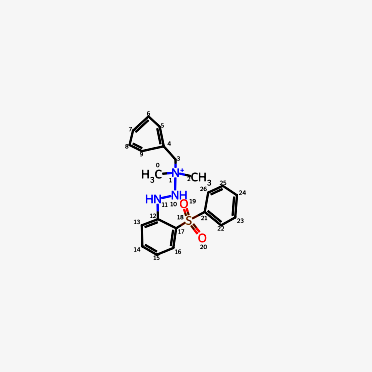 C[N+](C)(Cc1ccccc1)NNc1ccccc1S(=O)(=O)c1ccccc1